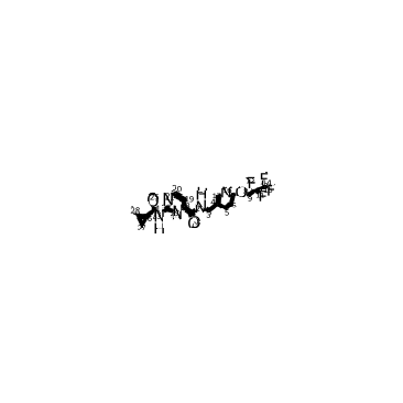 O=C(NCc1ccc(OCC(F)(F)C(F)F)nc1)c1ccnc(NC(=O)C2CC2)n1